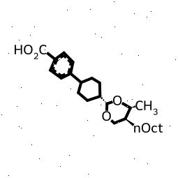 CCCCCCCC[C@H]1CO[C@H](C2CCC(c3ccc(C(=O)O)cc3)CC2)O[C@@H]1C